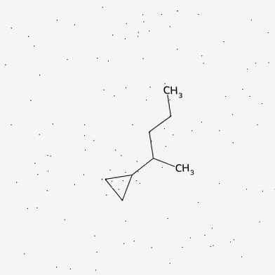 CCCC(C)C1[CH]C1